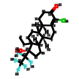 CCC12CC[C@H]3[C@@H](CCC4=C(Cl)C(=O)CC[C@@H]43)[C@@H]1CC[C@@]2(O)C(F)(F)C(F)(F)F